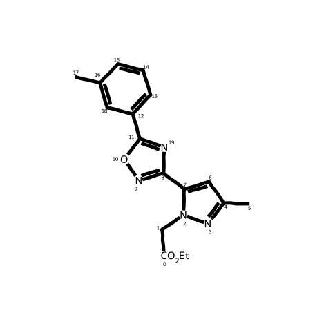 CCOC(=O)Cn1nc(C)cc1-c1noc(-c2cccc(C)c2)n1